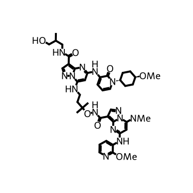 CNc1cc(Nc2cccnc2OC)nc2c(C(=O)NOC(C)(C)CCNc3cc(Nc4cccn([C@H]5CC[C@H](OC)CC5)c4=O)nc4c(C(=O)NCC(C)CO)cnn34)cnn12